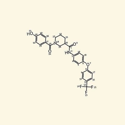 O=C(Nc1ccc(Oc2ccc(C(F)(F)F)cc2)cc1)C1CCCN(C(=O)c2ccc(O)cc2)C1